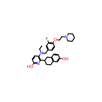 CCN(Cc1ccc(OCCN2CCCCC2)c(F)c1)c1ccc(O)nc1C1CCc2cc(O)ccc2C1